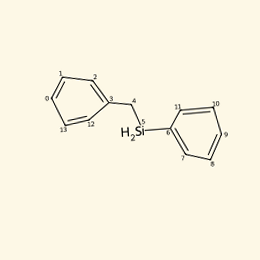 c1ccc(C[SiH2]c2ccccc2)cc1